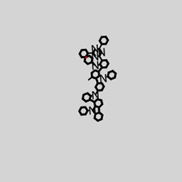 Cc1cc2c(c3cccc(-c4nc(-c5ccccc5)nc(-c5ccccc5)n4)c3n2-c2ccccc2)c2c1c1cc(-n3c4ccccc4c4c3ccc3c5ccccc5n(-c5ccccc5)c34)ccc1n2-c1ccccc1